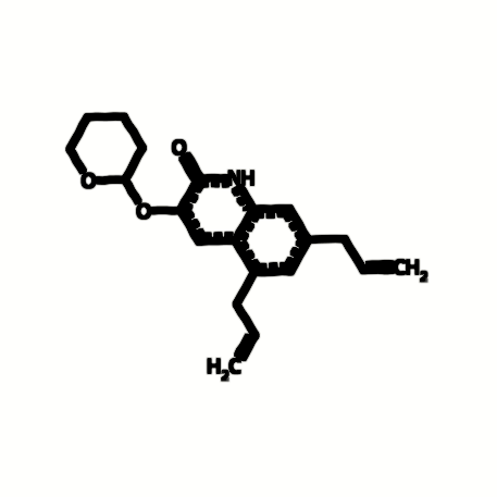 C=CCc1cc(CC=C)c2cc(OC3CCCCO3)c(=O)[nH]c2c1